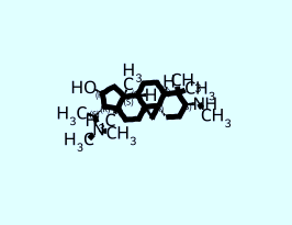 CN[C@H]1CC[C@]23C[C@]24CC[C@]2(C)[C@H]([C@H](C)N(C)C)[C@H](O)C[C@@]2(C)[C@@H]4CC[C@H]3C1(C)C